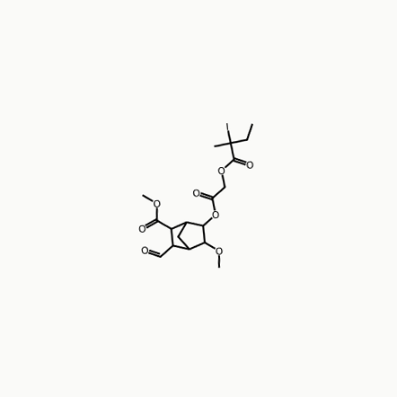 CCC(C)(I)C(=O)OCC(=O)OC1C2CC(C(C=O)C2C(=O)OC)C1OC